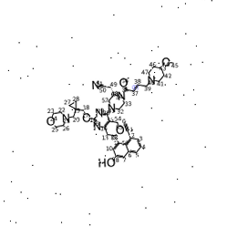 C#Cc1cccc2cc(O)cc([C@@H]3Cc4nc(OCC5(CN6CCOCC6)CC5)nc(N5CCN(C(=O)/C=C/CN6CCC(OC)CC6)[C@@H](CC#N)C5)c4CO3)c12